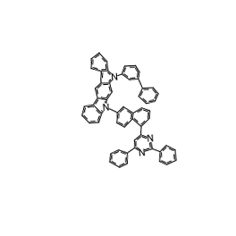 c1ccc(-c2cccc(-n3c4ccccc4c4cc5c6ccccc6n(-c6ccc7c(-c8cc(-c9ccccc9)nc(-c9ccccc9)n8)cccc7c6)c5cc43)c2)cc1